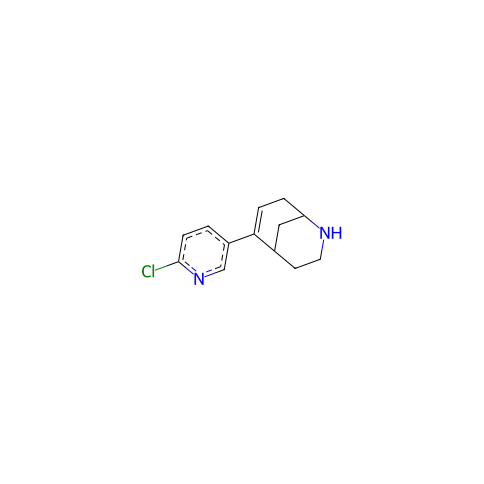 Clc1ccc(C2=CCC3CC2CCN3)cn1